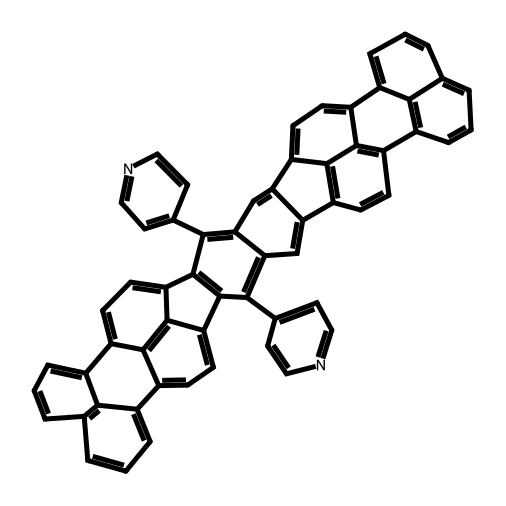 c1cc2cccc3c4ccc5c6cc7c(-c8ccncc8)c8c9ccc%10c%11cccc%12cccc(c%13ccc(c8c(-c8ccncc8)c7cc6c6ccc(c(c1)c23)c4c65)c9c%13%10)c%12%11